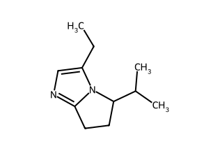 CCc1cnc2n1C(C(C)C)CC2